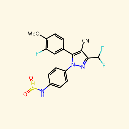 COc1ccc(-c2c(C#N)c(C(F)F)nn2-c2ccc(N[SH](=O)=O)cc2)cc1F